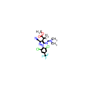 C=C(C(=O)OC)c1c(C#N)nn(-c2c(Cl)cc(C(F)(F)F)cc2Cl)c1N=CN(C)C